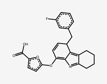 O=C(O)c1ccc(OC2=C3N=C4CCCCC4=C3C(Cc3cccc(F)c3)C=C2)o1